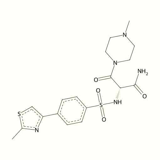 Cc1nc(-c2ccc(S(=O)(=O)N[C@@H](C(N)=O)C(=O)N3CCN(C)CC3)cc2)cs1